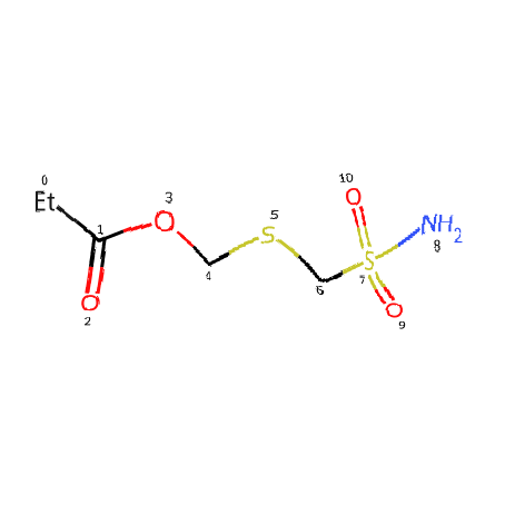 CCC(=O)OCSCS(N)(=O)=O